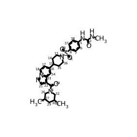 CNC(=O)Nc1ccc(S(=O)(=O)N2CCC(c3ccn4ncc(C(=O)N5CC(C)CC(C)C5)c4c3)CC2)cc1